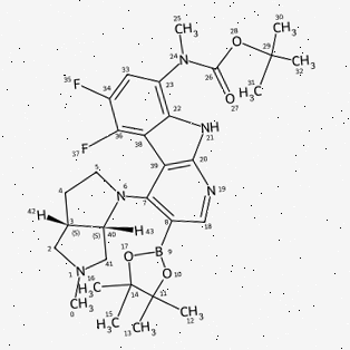 CN1C[C@@H]2CCN(c3c(B4OC(C)(C)C(C)(C)O4)cnc4[nH]c5c(N(C)C(=O)OC(C)(C)C)cc(F)c(F)c5c34)[C@@H]2C1